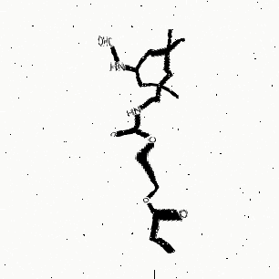 C=CC(=O)OCCOC(=O)NCC1(C)CC(NC=O)CC(C)(C)C1